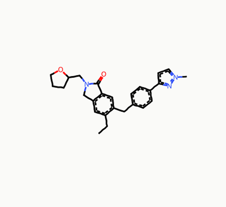 CCc1cc2c(cc1Cc1ccc(-c3ccn(C)n3)cc1)C(=O)N(CC1CCCO1)C2